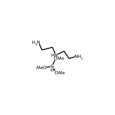 CO[SiH](OC)OC.NCCNCCN